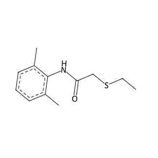 CCSCC(=O)Nc1c(C)cccc1C